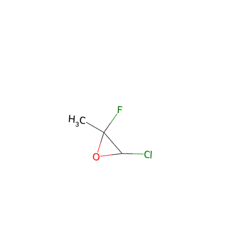 CC1(F)OC1Cl